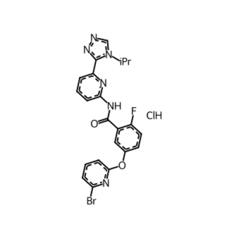 CC(C)n1cnnc1-c1cccc(NC(=O)c2cc(Oc3cccc(Br)n3)ccc2F)n1.Cl